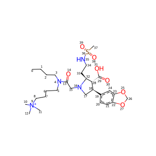 CCCCN(CCCC[N+](C)(C)C)C(=O)CN1C[C@H](c2ccc3c(c2)OCO3)[C@@H](C(=O)O)[C@@H]1CCNS(C)(=O)=O